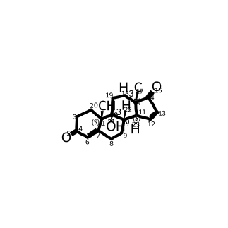 C[C@]12CCC(=O)C=C1CC[C@H]1[C@@H]3C=CC(=O)[C@@]3(C)CC[C@@]12O